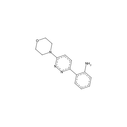 Nc1ccccc1-c1ccc(N2CCOCC2)nn1